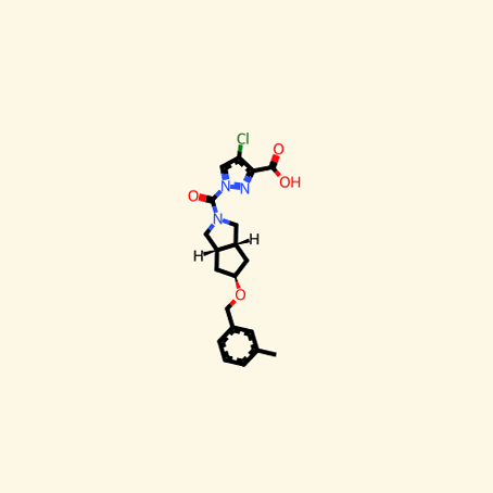 Cc1cccc(CO[C@H]2C[C@@H]3CN(C(=O)n4cc(Cl)c(C(=O)O)n4)C[C@@H]3C2)c1